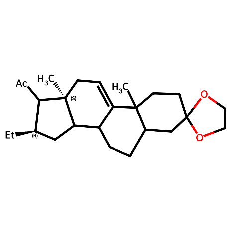 CC[C@@H]1CC2C3CCC4CC5(CCC4(C)C3=CC[C@]2(C)C1C(C)=O)OCCO5